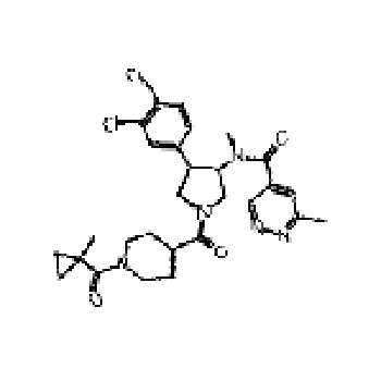 Cc1cc(C(=O)N(C)C2CN(C(=O)C3CCN(C(=O)C4(C)CC4)CC3)CC2c2ccc(Cl)c(Cl)c2)cnn1